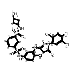 CC1CC(NS(=O)(=O)c2cccc(S(=O)(=O)Nc3ccc(Cl)c(NC4=NN(c5cc(Cl)c(Cl)cc5Cl)C(=O)C4)c3)c2)C1